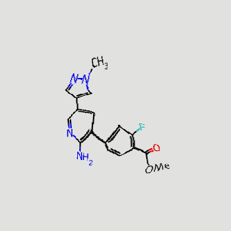 COC(=O)c1ccc(-c2cc(-c3cnn(C)c3)cnc2N)cc1F